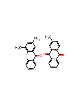 Cc1cc(C)c2sc3ccccc3c(=O)c2c1.Cc1ccc2c(c1)C(=O)c1ccccc1C2=O